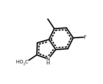 Cc1cc(F)cc2[nH]c(C(=O)O)cc12